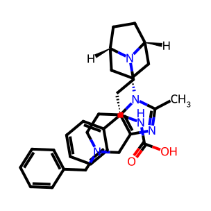 Cc1nc2c(n1[C@H]1C[C@H]3CC[C@@H](C1)N3CC[C@H](NC(=O)O)c1ccccc1)CCN(Cc1ccccc1)C2